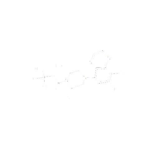 CC1CN(c2cc(F)c(Br)c3nccnc23)C[C@H](C)N1C(=O)OC(C)(C)C